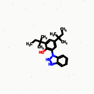 CCC(C)(C)c1cc(N2NNc3ccccc32)c(O)c(C(C)(C)CC)c1